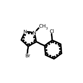 Cn1ncc(Br)c1-c1ccccc1Cl